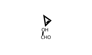 C1=CC1.O=CO